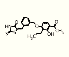 CCCc1c(OCc2cccc(C=C3SC(=S)NC3=O)c2)ccc(C(C)=O)c1O